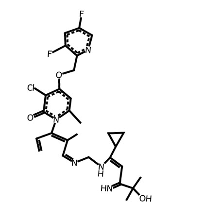 C=C/C(=C(C)\C=N/CN/C(=C\C(=N)C(C)(C)O)C1CC1)n1c(C)cc(OCc2ncc(F)cc2F)c(Cl)c1=O